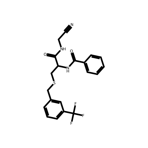 N#CCNC(=O)C(CSCc1cccc(C(F)(F)F)c1)NC(=O)c1ccccc1